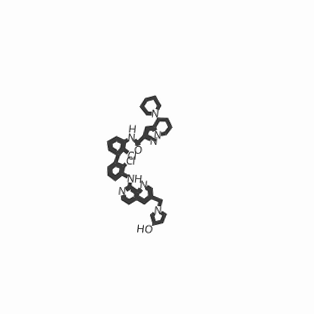 O=C(Nc1cccc(-c2cccc(Nc3nccc4cc(CN5CC[C@H](O)C5)cnc34)c2Cl)c1Cl)c1cc2n(n1)CCC[C@H]2N1CCCCC1